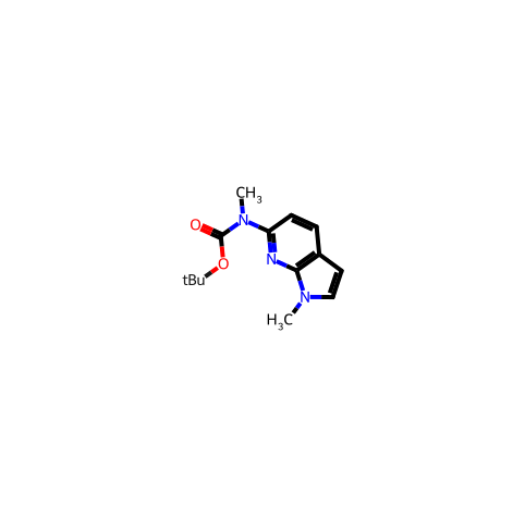 CN(C(=O)OC(C)(C)C)c1ccc2ccn(C)c2n1